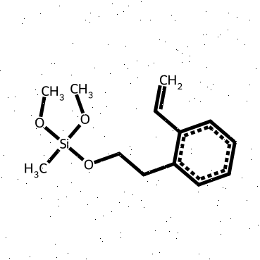 C=Cc1ccccc1CCO[Si](C)(OC)OC